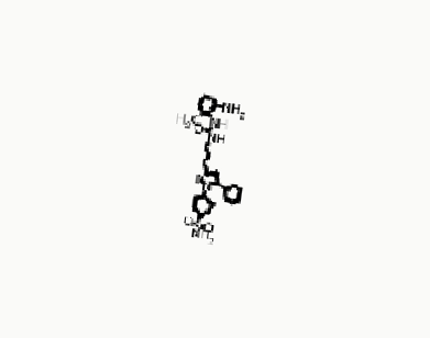 Cc1cccc(N)c1NC(=O)NCCCc1cc(-c2ccccc2)n(-c2ccc(S(N)(=O)=O)cc2)n1